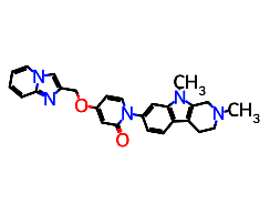 CN1CCc2c(n(C)c3cc(-n4ccc(OCc5cn6ccccc6n5)cc4=O)ccc23)C1